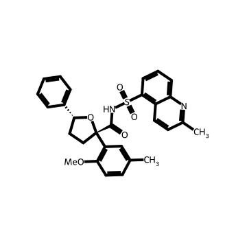 COc1ccc(C)cc1[C@]1(C(=O)NS(=O)(=O)c2cccc3nc(C)ccc23)CC[C@H](c2ccccc2)O1